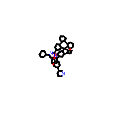 c1ccc(-c2cc(-c3ccc(-c4cccnc4)cc3)nc(-c3ccc4c(c3)C3(c5ccccc5-c5ccccc5-4)c4ccccc4-c4cc5c(cc43)oc3ccccc35)n2)cc1